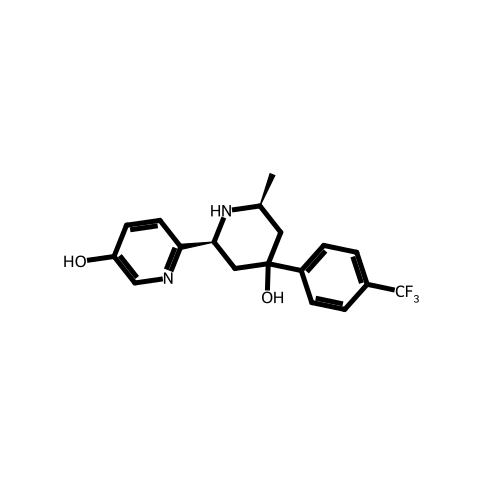 C[C@H]1CC(O)(c2ccc(C(F)(F)F)cc2)C[C@@H](c2ccc(O)cn2)N1